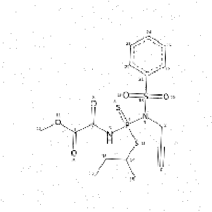 C#CCN(P(=S)(NC(=O)C(=O)OC)SC(C)CC)S(=O)(=O)c1ccccc1